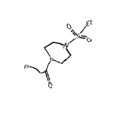 CCC(=O)N1CCN(S(=O)(=O)CC)CC1